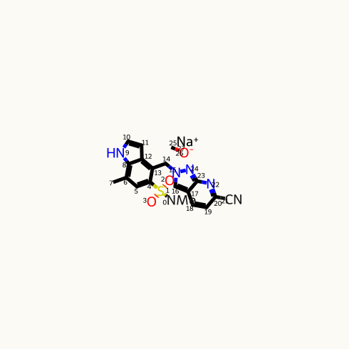 CNS(=O)(=O)c1cc(C)c2[nH]ccc2c1Cn1cc2ccc(C#N)nc2n1.C[O-].[Na+]